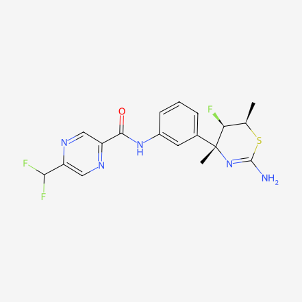 C[C@H]1SC(N)=N[C@](C)(c2cccc(NC(=O)c3cnc(C(F)F)cn3)c2)[C@H]1F